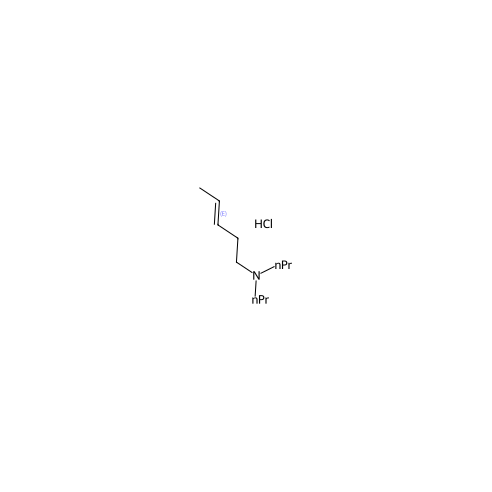 C/C=C/CCN(CCC)CCC.Cl